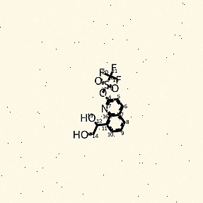 O=S(=O)(Oc1ccc2cccc(C(O)CO)c2n1)C(F)(F)F